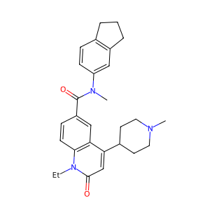 CCn1c(=O)cc(C2CCN(C)CC2)c2cc(C(=O)N(C)c3ccc4c(c3)CCC4)ccc21